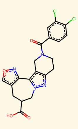 O=C(O)C1Cc2conc2-c2c3c(nn2C1)CCN(C(=O)c1ccc(Cl)c(Cl)c1)C3